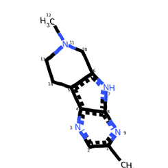 Cc1cnc2c3c([nH]c2n1)CN(C)CC3